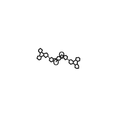 c1ccc2c(c1)c1ccccc1c1cc(-c3ccc4oc5cc6c(cc5c4c3)oc3ccc(-c4ccc5c7ccccc7c7ccccc7c5c4)cc36)ccc21